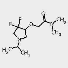 CC(C)N1CC(OCC(=O)N(C)C)C(F)(F)C1